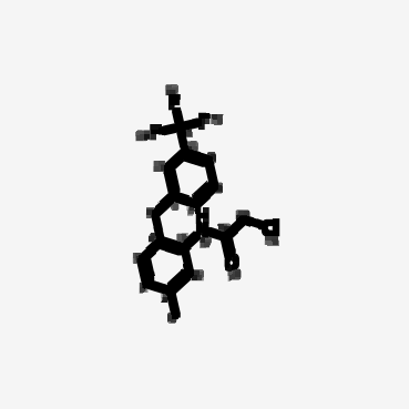 Cc1ccc(Cc2cccc(C(F)(F)F)c2)c(NC(=O)CCl)c1